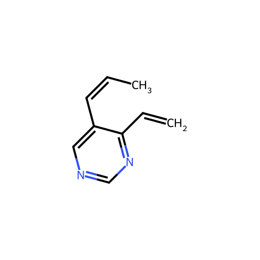 C=Cc1ncncc1/C=C\C